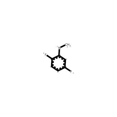 C[N]c1cc(F)ccc1F